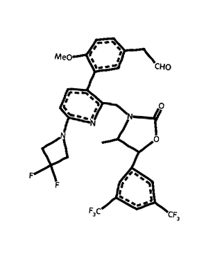 COc1ccc(CC=O)cc1-c1ccc(N2CC(F)(F)C2)nc1CN1C(=O)OC(c2cc(C(F)(F)F)cc(C(F)(F)F)c2)C1C